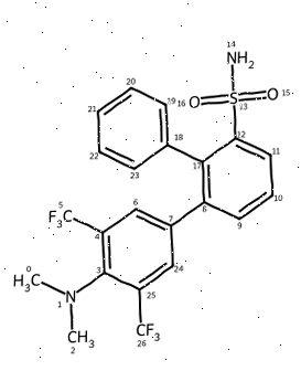 CN(C)c1c(C(F)(F)F)cc(-c2cccc(S(N)(=O)=O)c2-c2ccccc2)cc1C(F)(F)F